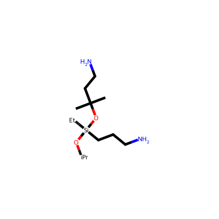 CC[Si](CCCN)(OC(C)C)OC(C)(C)CCN